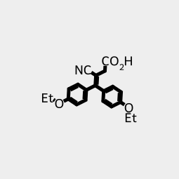 CCOc1ccc(C(=C(C#N)CC(=O)O)c2ccc(OCC)cc2)cc1